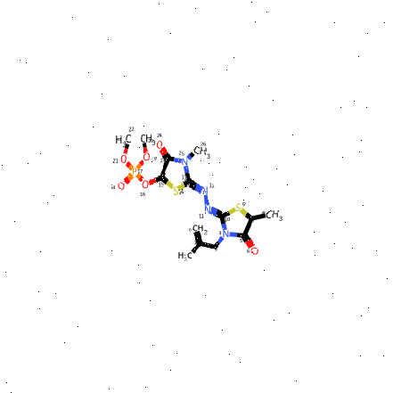 C=C(C)CN1C(=O)C(C)SC1=NN=C1SC(OP(=O)(OC)OC)C(=O)N1C